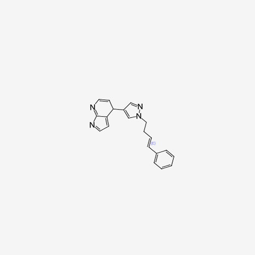 C1=CC(c2cnn(CC/C=C/c3ccccc3)c2)C2=CC=NC2=N1